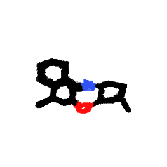 C=c1cc2c(c3ccccc13)=Nc1ccc(C)cc1O2